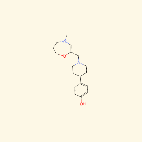 CN1CCCOC(CN2CCC(c3ccc(O)cc3)CC2)C1